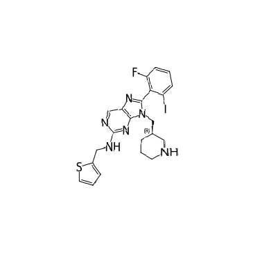 Fc1cccc(I)c1-c1nc2cnc(NCc3cccs3)nc2n1C[C@@H]1CCCNC1